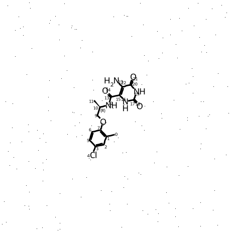 Cc1cc(Cl)ccc1OC[C@@H](C)NC(=O)c1[nH]c(=O)[nH]c(=O)c1N